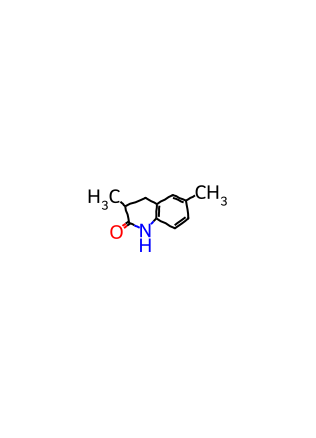 Cc1ccc2c(c1)CC(C)C(=O)N2